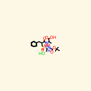 CC(NC(=O)C(Cc1ccccc1)CP(=O)(O)C(C)NC(=O)OC(C)(C)C)C(=O)O.Cl